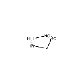 CC(=O)CC(C)C.C[N+](=O)[O-]